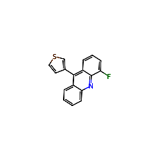 Fc1cccc2c(-c3ccsc3)c3ccccc3nc12